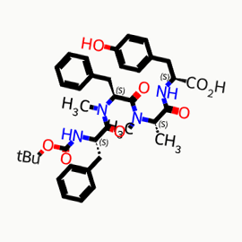 C[C@@H](C(=O)N[C@@H](Cc1ccc(O)cc1)C(=O)O)N(C)C(=O)[C@H](Cc1ccccc1)N(C)C(=O)[C@H](Cc1ccccc1)NC(=O)OC(C)(C)C